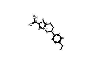 CCc1ccc(C2CCc3nc(C(=O)O)cn3C2)cc1